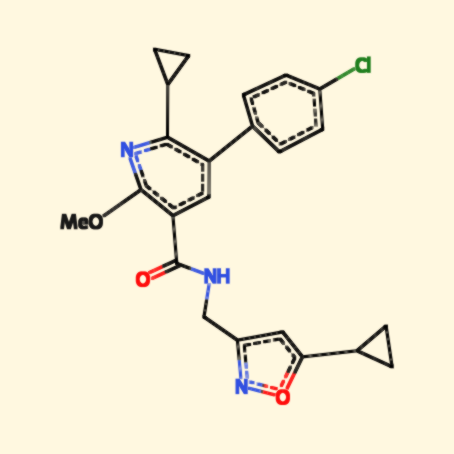 COc1nc(C2CC2)c(-c2ccc(Cl)cc2)cc1C(=O)NCc1cc(C2CC2)on1